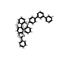 c1ccc(-c2cccc(-c3ccc(N(c4ccccc4)c4cccc5oc6cc7oc(-c8ccccc8)nc7cc6c45)cc3)c2)cc1